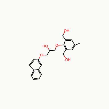 Cc1cc(CO)c(OCC(O)COc2ccc3ccccc3c2)c(CO)c1